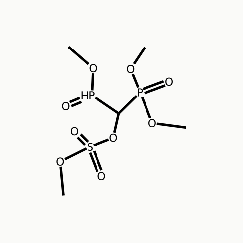 CO[PH](=O)C(OS(=O)(=O)OC)P(=O)(OC)OC